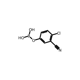 N#Cc1cc(OB(O)O)ccc1Cl